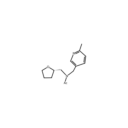 CC(=O)N(Cc1ccc(C)nc1)C[C@@H]1CCCO1